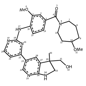 COc1cc(C(=O)N2CCCC(OC)CC2)ccc1Nc1nccc(-c2cnc3c(c2)C(C)(CO)CN3)n1